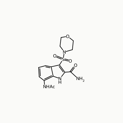 CC(=O)Nc1cccc2c(S(=O)(=O)N3CCOCC3)c(C(N)=O)[nH]c12